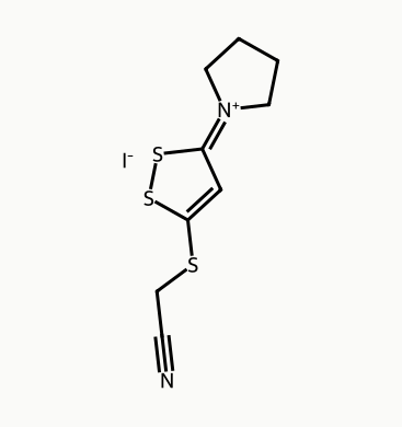 N#CCSc1cc(=[N+]2CCCC2)ss1.[I-]